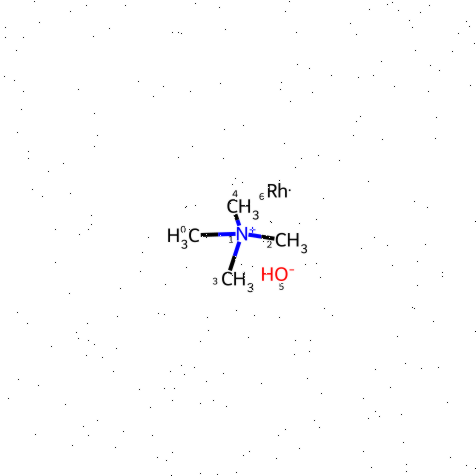 C[N+](C)(C)C.[OH-].[Rh]